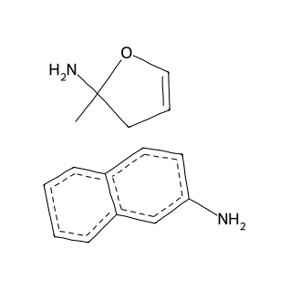 CC1(N)CC=CO1.Nc1ccc2ccccc2c1